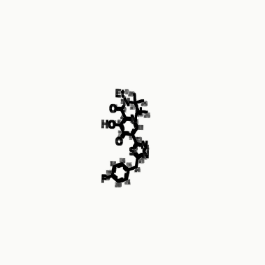 CCN1C(=O)c2c(O)c(=O)c(-c3nnc(Cc4ccc(F)cc4)s3)cn2N(C)C1(C)C